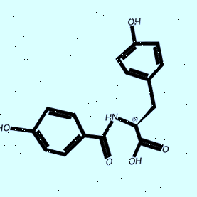 O=C(N[C@@H](Cc1ccc(O)cc1)C(=O)O)c1ccc(O)cc1